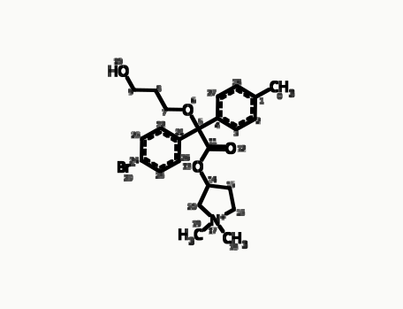 Cc1ccc(C(OCCCO)(C(=O)OC2CC[N+](C)(C)C2)c2ccccc2)cc1.[Br-]